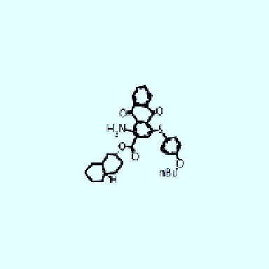 CCCCOc1ccc(Sc2cc(C(=O)O[C@@H]3CC[C@@H]4CCCCC4C3)c(N)c3c2C(=O)c2ccccc2C3=O)cc1